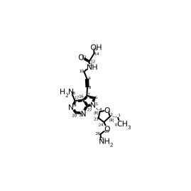 CC[C@H]1O[C@@H](n2cc(C#CCNC(=O)CO)c3c(N)ncnc32)CC1OCN